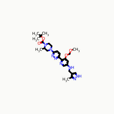 COCOc1cc(NCc2c[nH]nc2C)cnc1-c1ccc(N2CCN(C(=O)OC(C)(C)C)C(C)C2)nn1